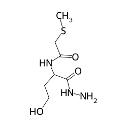 CSCC(=O)NC(CCO)C(=O)NN